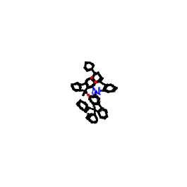 CC1(C)c2ccccc2-c2cccc(N(c3ccc4c(c3)-c3ccccc3C4(c3ccccc3)c3ccccc3)c3ccccc3-c3ccc(-c4ccccc4)cc3)c21